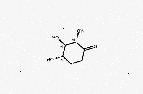 O=C1CC[C@H](O)[C@@H](O)[C@@H]1O